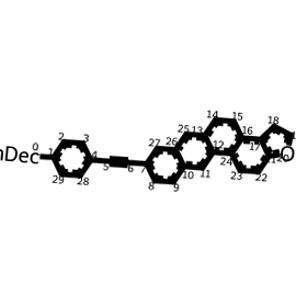 CCCCCCCCCCc1ccc(C#Cc2ccc3cc4c(ccc5c6ccoc6ccc45)cc3c2)cc1